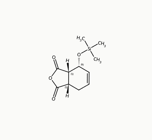 C[Si](C)(C)O[C@@H]1C=CC[C@@H]2C(=O)OC(=O)[C@@H]21